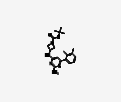 Cc1cccc(-c2cc(NC3CN(C(=O)OC(C)(C)C)C3)nc(N)n2)c1C